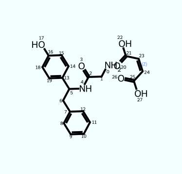 NCC(=O)NC(Cc1ccccc1)c1ccc(O)cc1.O=C(O)/C=C\C(=O)O